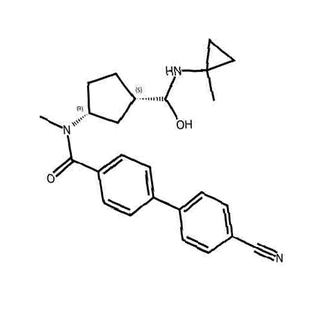 CN(C(=O)c1ccc(-c2ccc(C#N)cc2)cc1)[C@@H]1CC[C@H](C(O)NC2(C)CC2)C1